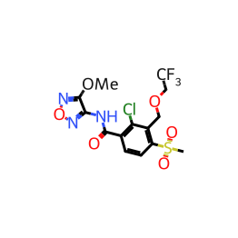 COc1nonc1NC(=O)c1ccc(S(C)(=O)=O)c(COCC(F)(F)F)c1Cl